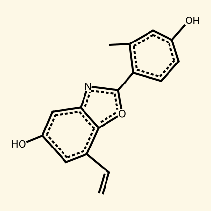 C=Cc1cc(O)cc2nc(-c3ccc(O)cc3C)oc12